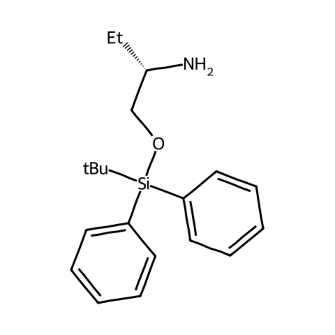 CC[C@H](N)CO[Si](c1ccccc1)(c1ccccc1)C(C)(C)C